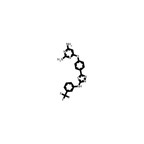 Nc1cc(Oc2ccc(-c3nnc(Nc4cccc(C(F)(F)F)c4)s3)cc2)nc(N)n1